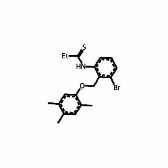 CCC(=S)Nc1cccc(Br)c1COc1cc(C)c(C)cc1C